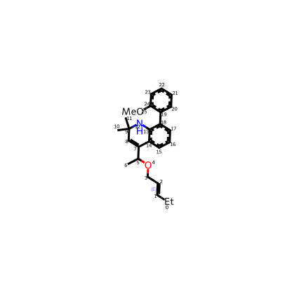 CC/C=C/COC(C)C1=CC(C)(C)Nc2c1cccc2-c1ccccc1OC